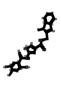 Cn1c(CNC(=O)c2cc(NC(=O)c3cc(F)c(F)cc3Cl)[nH]n2)nc2ccccc21